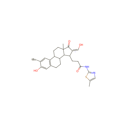 Cc1cnc(NC(=O)CCC2/C(=C/O)C(=O)C3(C)CCC4c5cc(C(C)(C)C)c(O)cc5CCC4C23)s1